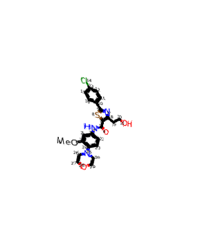 COc1cc(NC(=O)c2sc(-c3ccc(Cl)cc3)nc2CCO)ccc1N1CCOCC1